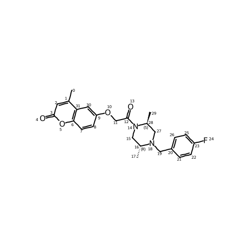 Cc1cc(=O)oc2ccc(OCC(=O)N3C[C@@H](C)N(Cc4ccc(F)cc4)C[C@@H]3C)cc12